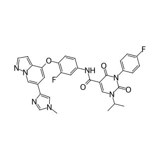 CC(C)n1cc(C(=O)Nc2ccc(Oc3cc(-c4cn(C)cn4)cn4nccc34)c(F)c2)c(=O)n(-c2ccc(F)cc2)c1=O